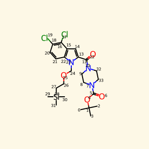 CC(C)(C)OC(=O)N1CCN(C(=O)c2cc3c(Cl)c(Cl)ccc3n2COCC[Si](C)(C)C)CC1